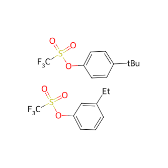 CC(C)(C)c1ccc(OS(=O)(=O)C(F)(F)F)cc1.CCc1cccc(OS(=O)(=O)C(F)(F)F)c1